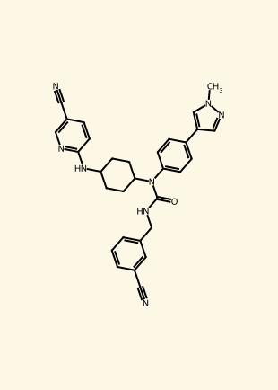 Cn1cc(-c2ccc(N(C(=O)NCc3cccc(C#N)c3)C3CCC(Nc4ccc(C#N)cn4)CC3)cc2)cn1